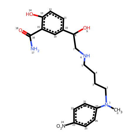 CN(CCCCNCC(O)c1ccc(O)c(C(N)=O)c1)c1ccc([N+](=O)[O-])cc1